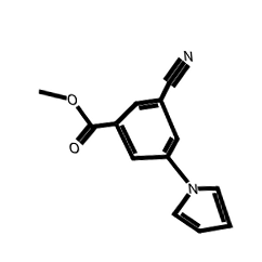 COC(=O)c1cc(C#N)cc(-n2cccc2)c1